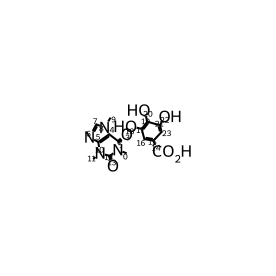 Cn1c(=O)c2c(ncn2C)n(C)c1=O.O=C(O)c1cc(O)c(O)c(O)c1